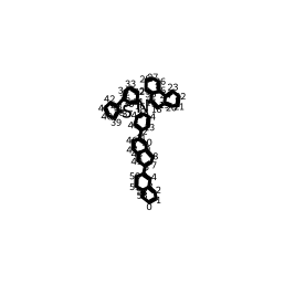 c1ccc2cc(-c3ccc4cc(-c5ccc(N(c6cc7ccccc7c7ccccc67)c6cccc7c6sc6ccccc67)cc5)ccc4c3)ccc2c1